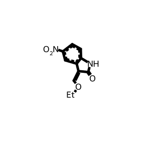 CCOC=C1C(=O)Nc2ccc([N+](=O)[O-])cc21